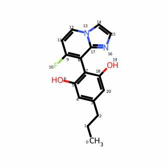 CCCc1cc(O)c(-c2c(F)ccn3ccnc23)c(O)c1